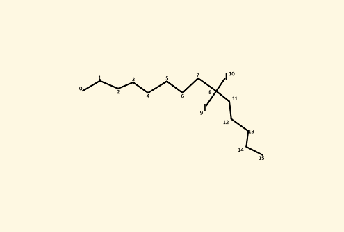 CCCCCCCCC(I)(I)CCCCC